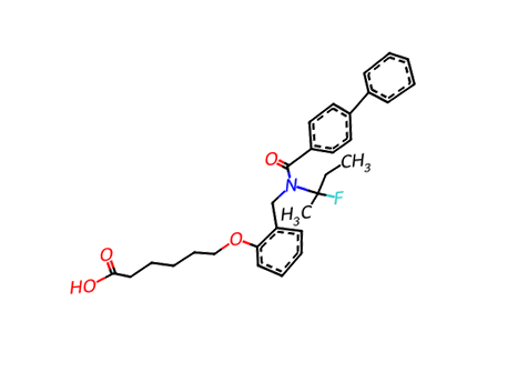 CCC(C)(F)N(Cc1ccccc1OCCCCCC(=O)O)C(=O)c1ccc(-c2ccccc2)cc1